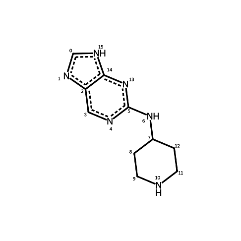 c1nc2cnc(NC3CCNCC3)nc2[nH]1